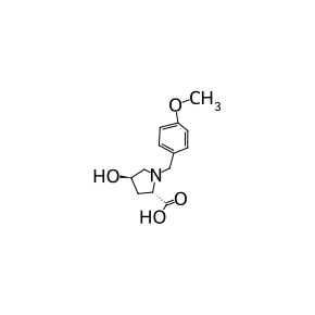 COc1ccc(CN2C[C@H](O)C[C@H]2C(=O)O)cc1